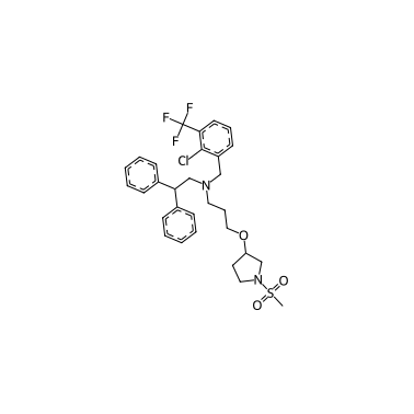 CS(=O)(=O)N1CCC(OCCCN(Cc2cccc(C(F)(F)F)c2Cl)CC(c2ccccc2)c2ccccc2)C1